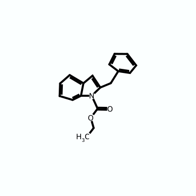 CCOC(=O)n1c(Cc2ccccc2)cc2ccccc21